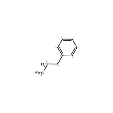 CCCCC[SiH2]Cc1ccccc1